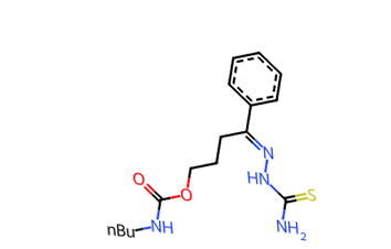 CCCCNC(=O)OCCCC(=NNC(N)=S)c1ccccc1